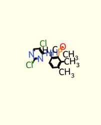 Cc1ccc(Nc2nc(Cl)ncc2Cl)c(P(C)(C)=O)c1C